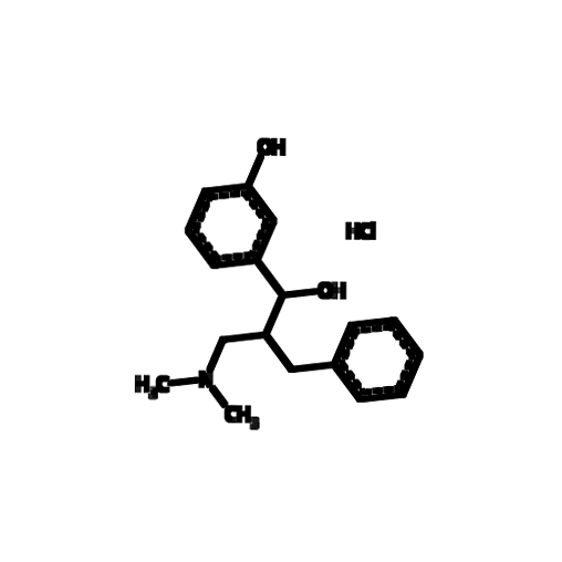 CN(C)CC(Cc1ccccc1)C(O)c1cccc(O)c1.Cl